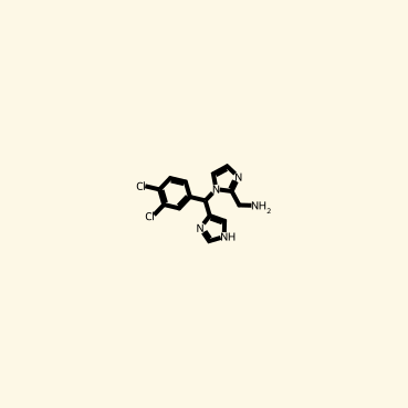 NCc1nccn1C(c1ccc(Cl)c(Cl)c1)c1c[nH]cn1